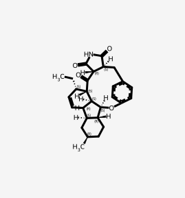 CC[C@H]1C=C[C@H]2[C@@H]3C[C@H](C)CC[C@H]3[C@@H]3Oc4ccc(cc4)C[C@@H]4C(=O)NC(=O)[C@H]4C(=O)[C@@H]1[C@H]23